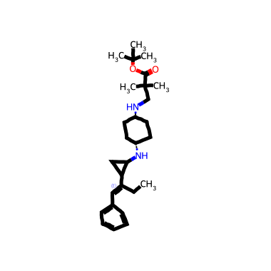 CC/C(=C\c1ccccc1)C1CC1N[C@H]1CC[C@@H](NCC(C)(C)C(=O)OC(C)(C)C)CC1